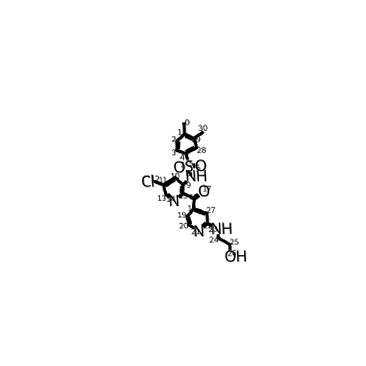 Cc1ccc(S(=O)(=O)Nc2cc(Cl)cnc2C(=O)c2ccnc(NCCO)c2)cc1C